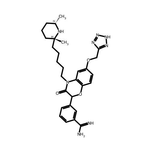 C[C@H]1CCC[C@@](C)(CCCCCN2C(=O)C(c3cccc(C(=N)N)c3)Oc3ccc(OCc4nn[nH]n4)cc32)N1